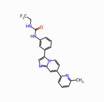 Cc1cccc(-c2ccn3c(-c4cccc(NC(=O)NCC(F)(F)F)c4)cnc3c2)n1